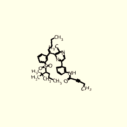 CCC#CC(=O)Nc1cccc(-c2cnc(C)c(/C(=C\CCC)c3cccc(S(=O)(=O)C(CCC)C(C)(C)C)c3)n2)c1